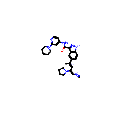 C=N/C=C(\C=C(/C)c1ccc2[nH]nc(C(=O)Nc3ccnc(N4CCCCC4)c3)c2c1)N1CCCC1